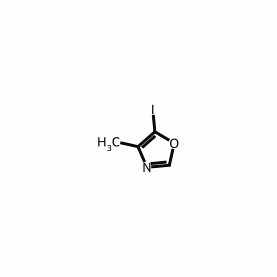 Cc1ncoc1I